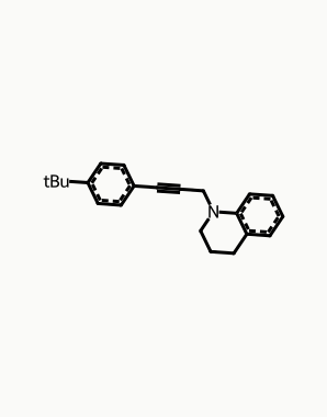 CC(C)(C)c1ccc(C#CCN2CCCc3ccccc32)cc1